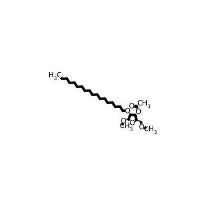 CCCCCCCCCCCCCCCCCCO[C@H]1[C@@H](OC)O[C@H](COC)[C@@H]1OC(C)=O